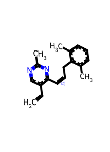 C=Cc1cnc(C)nc1/C=C\Cc1c(C)cccc1C